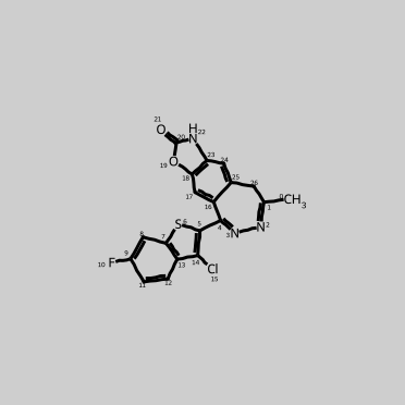 CC1=NN=C(c2sc3cc(F)ccc3c2Cl)c2cc3oc(=O)[nH]c3cc2C1